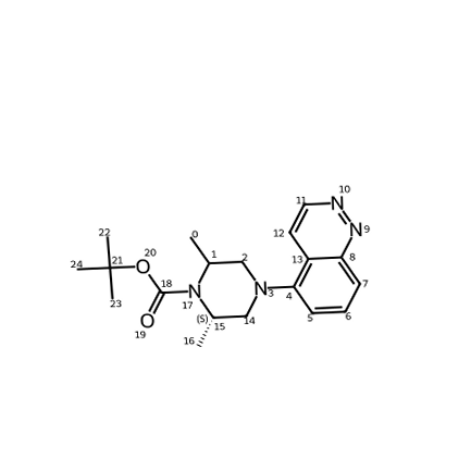 CC1CN(c2cccc3nnccc23)C[C@H](C)N1C(=O)OC(C)(C)C